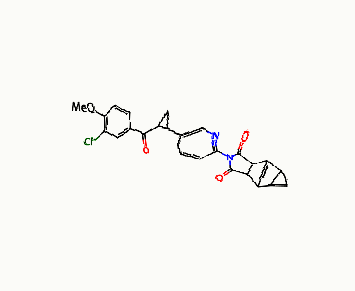 COc1ccc(C(=O)C2CC2c2ccc(N3C(=O)C4C5C=CC(C6CC56)C4C3=O)nc2)cc1Cl